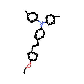 CCOc1ccc(/C=C/c2ccc(N(c3ccc(C)cc3)c3ccc(C)cc3)cc2)cc1